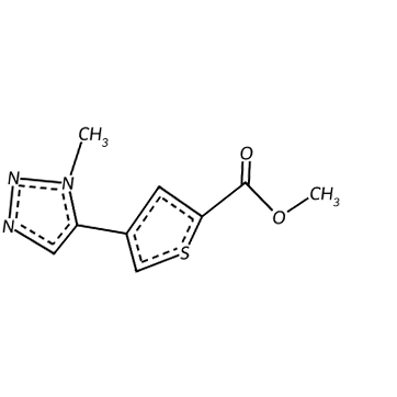 COC(=O)c1cc(-c2cnnn2C)cs1